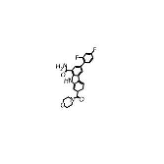 NC(=O)c1cc(-c2ccc(F)cc2F)cc2c3c([nH]c12)=CC(C(=O)N1CCOCC1)CC=3